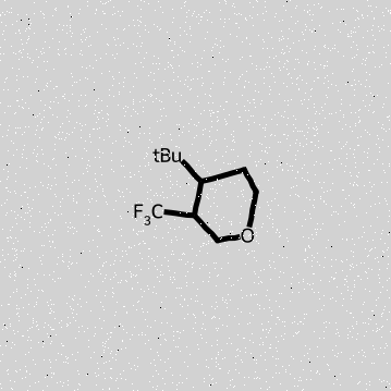 CC(C)(C)C1CCOCC1C(F)(F)F